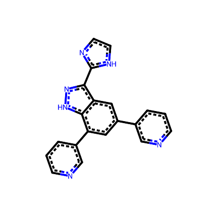 c1cncc(-c2cc(-c3cccnc3)c3[nH]nc(-c4ncc[nH]4)c3c2)c1